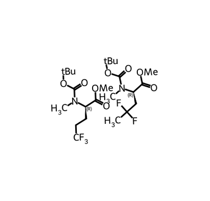 COC(=O)[C@@H](CC(C)(F)F)N(C)C(=O)OC(C)(C)C.COC(=O)[C@@H](CCC(F)(F)F)N(C)C(=O)OC(C)(C)C